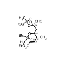 CCOC(=O)C=C[C@@H](C)[C@H](C[C@@H](C=O)O[Si](C)(C)C(C)(C)C)O[Si](C)(C)C(C)(C)C